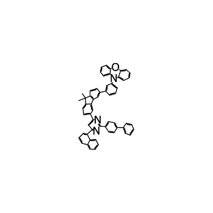 CC1(C)c2ccc(-c3cccc(N4c5ccccc5Oc5ccccc54)c3)cc2-c2cc(-c3cc(-c4cccc5ccccc45)nc(-c4ccc(-c5ccccc5)cc4)n3)ccc21